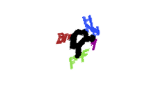 FC(F)c1cc(Br)cc2[nH]nc(I)c12